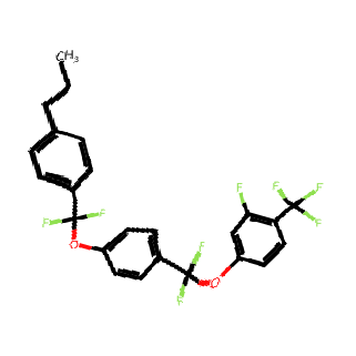 CCCc1ccc(C(F)(F)Oc2ccc(C(F)(F)Oc3ccc(C(F)(F)F)c(F)c3)cc2)cc1